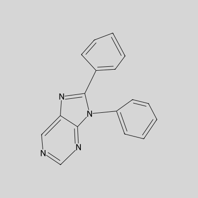 c1ccc(-c2nc3cncnc3n2-c2ccccc2)cc1